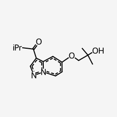 CC(C)C(=O)c1cnn2ccc(OCC(C)(C)O)cc12